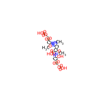 CNc1ccc2c(OC)c(/N=N/c3ccc(S(=O)(=O)CCOS(=O)(=O)O)cc3O)c(S(=O)(=O)O)cc2c1/N=N/c1cc(S(=O)(=O)CCOS(=O)(=O)O)ccc1OC